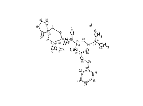 CCOC(=O)[C@@H]1CC2(CC[C@@H]1NC(=O)[C@H](CC[S+](C)C)NC(=O)OCc1ccccc1)OCCO2.[I-]